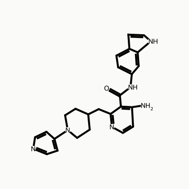 Nc1ccnc(CC2CCN(c3ccncc3)CC2)c1C(=O)Nc1ccc2cc[nH]c2c1